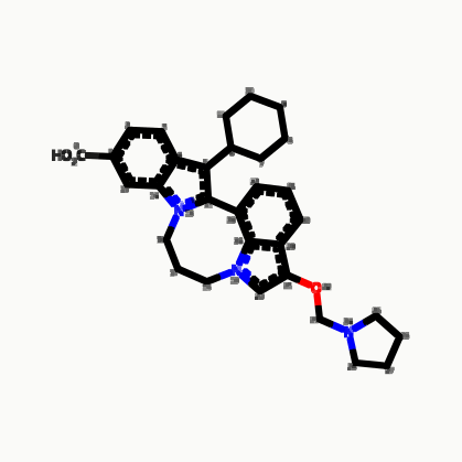 O=C(O)c1ccc2c(C3CCCCC3)c3n(c2c1)CCCn1cc(OCN2CCCC2)c2cccc-3c21